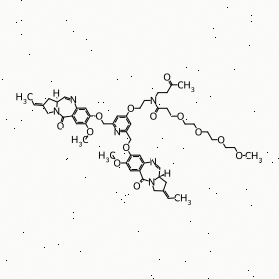 C/C=C1\C[C@H]2C=Nc3cc(OCc4cc(OCCN(CCC(C)=O)C(=O)CCOCCOCCOCCOC)cc(COc5cc6c(cc5OC)C(=O)N5C/C(=C/C)C[C@H]5C=N6)n4)c(OC)cc3C(=O)N2C1